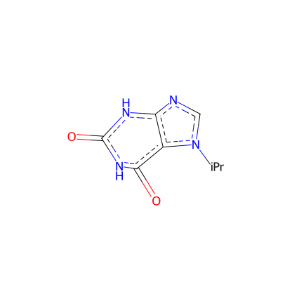 CC(C)n1cnc2[nH]c(=O)[nH]c(=O)c21